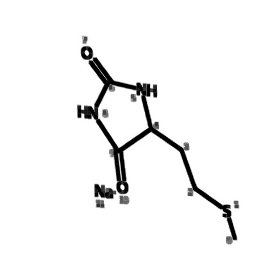 CSCCC1NC(=O)NC1=O.[Na]